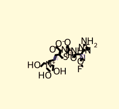 Nc1nc(/C(=N/OCF)C(=O)N[C@@H]2C(=O)N3C(C(=O)[O-])=C(/C=C/C[N+](CCO)(CCO)CCO)CS[C@@H]23)ns1